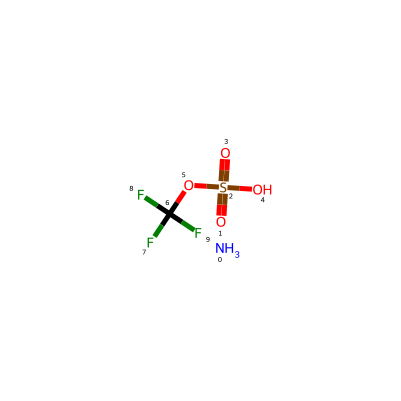 N.O=S(=O)(O)OC(F)(F)F